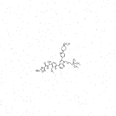 Cc1c(C(C)NC(=O)c2noc(C(C)(C)C)n2)ccc(-c2ncnc3c2cc(-c2ccc(N4CCN(C(=O)O)CC4)nc2)n3COCC[Si](C)(C)C)c1F